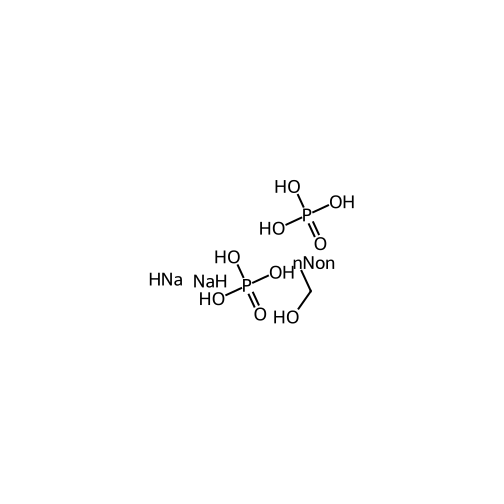 CCCCCCCCCCO.O=P(O)(O)O.O=P(O)(O)O.[NaH].[NaH]